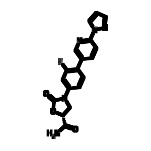 NC(=O)[C@H]1CN(c2ccc(-c3ccc(-n4cccn4)nc3)c(F)c2)C(=O)O1